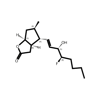 CCCC[C@@H](F)[C@@H](O)C=C[C@@H]1[C@H]2CC(=O)O[C@H]2C[C@H]1C